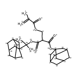 C=C(C)C(=O)OCC(C(=O)OC12CC3CC(CC(C3)C1)C2)C(=O)OC(C)(C)C12CC3CC(CC(C3)C1)C2